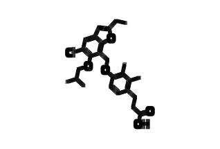 CCc1cc2cc(Cl)c(OCC(C)C)c(COc3ccc(CCC(=O)O)c(C)c3C)c2o1